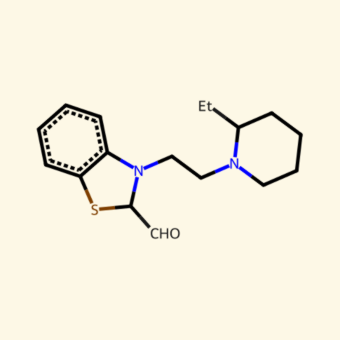 CCC1CCCCN1CCN1c2ccccc2SC1C=O